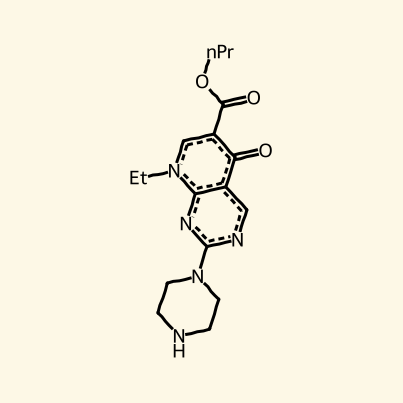 CCCOC(=O)c1cn(CC)c2nc(N3CCNCC3)ncc2c1=O